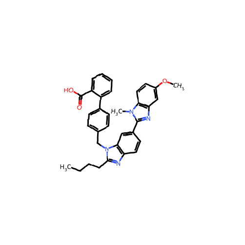 CCCCc1nc2ccc(-c3nc4cc(OC)ccc4n3C)cc2n1Cc1ccc(-c2ccccc2C(=O)O)cc1